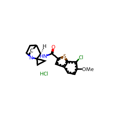 COc1ccc2cc(C(=O)N[C@@H]3C4CCN(CC4)C34CC4)sc2c1Cl.Cl